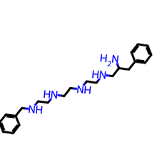 NC(CNCCNCCNCCNCc1ccccc1)Cc1ccccc1